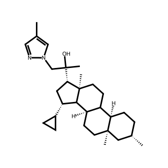 Cc1cnn(CC(C)(O)[C@H]2C[C@@H](C3CC3)C3[C@@H]4CC[C@]5(C)C[C@@H](C)CC[C@@H]5C4CC[C@@]32C)c1